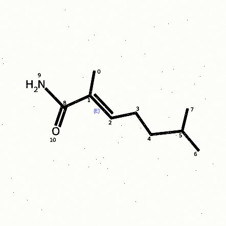 C/C(=C\CCC(C)C)C(N)=O